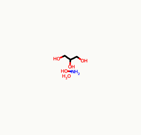 NO.O.OCC(O)CO